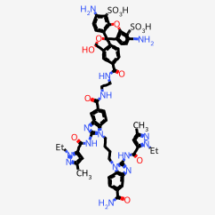 CCn1nc(C)cc1C(=O)Nc1nc2cc(C(N)=O)ccc2n1CCCCn1c(NC(=O)c2cc(C)nn2CC)nc2cc(C(=O)NCCNC(=O)c3ccc4c(c3)C(O)OC43c4ccc(N)c(S(=O)(=O)O)c4Oc4c3ccc(N)c4S(=O)(=O)O)ccc21